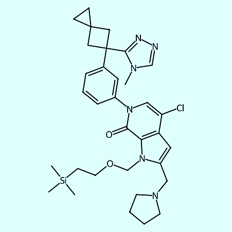 Cn1cnnc1C1(c2cccc(-n3cc(Cl)c4cc(CN5CCCC5)n(COCC[Si](C)(C)C)c4c3=O)c2)CC2(CC2)C1